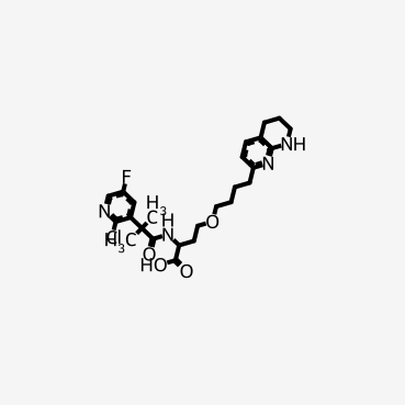 CC(C)(C(=O)NC(CCOCCCCc1ccc2c(n1)NCCC2)C(=O)O)c1cc(F)cnc1Cl